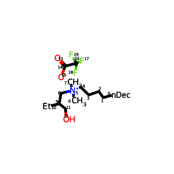 CCCCCCCCCCCCCC[N+](C)(C)CC(CC)CO.O=C([O-])C(F)(F)F